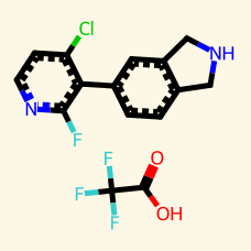 Fc1nccc(Cl)c1-c1ccc2c(c1)CNC2.O=C(O)C(F)(F)F